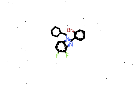 Fc1ccc2c(nc(-c3ccccc3Br)n2CC2CCCCC2)c1F